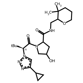 CC1(C)CCCOC1CNC(=O)C1CC(O)CN1C(=O)[C@@H](n1cc(C2CC2)nn1)C(C)(C)C